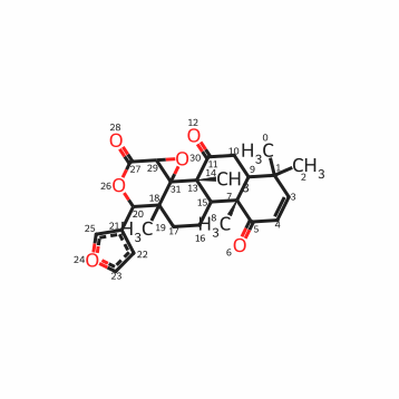 CC1(C)C=CC(=O)[C@@]2(C)C1CC(=O)[C@]1(C)C2CCC2(C)C(c3ccoc3)OC(=O)C3OC321